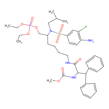 CCOP(=O)(OCC)OCC(CCCCNC(=O)C(NC(=O)OC)C(c1ccccc1)c1ccccc1)N(CC(C)C)S(=O)(=O)c1ccc(N)c(F)c1